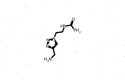 NCc1cn(CCNC(=O)P)nn1